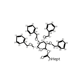 CCCCCCCC(=O)OC1O[C@H](COCc2ccccc2)[C@@H](OCc2ccccc2)[C@H](OCc2ccccc2)[C@H]1OCc1ccccc1